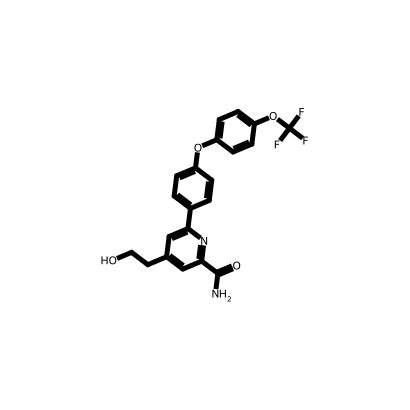 NC(=O)c1cc(CCO)cc(-c2ccc(Oc3ccc(OC(F)(F)F)cc3)cc2)n1